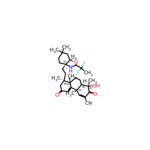 CC1CC(C)(C)CC[C@@]1(CC[C@]1(C)CC(=O)C=C2[C@@]3(C)C=C(C#N)C(=O)[C@@](C)(O)[C@@H]3CC[C@]21C)NC(=O)C(C)(F)F